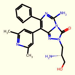 Cc1cc(-c2c(-c3ccccc3)nc(N)n3c(=O)n(C[C@@H](N)CO)nc23)cc(C)n1